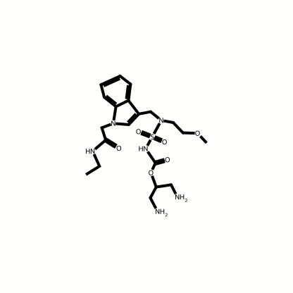 CCNC(=O)Cn1cc(CN(CCOC)S(=O)(=O)NC(=O)OC(CN)CN)c2ccccc21